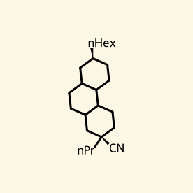 CCCCCC[C@H]1CCC2C(CCC3C[C@@](C#N)(CCC)CCC32)C1